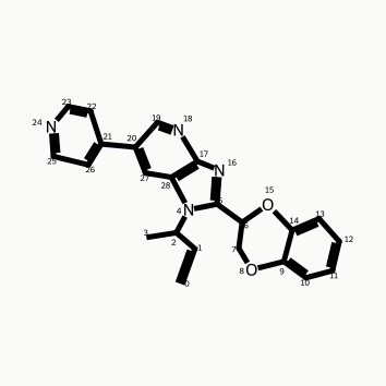 C=CC(C)n1c(C2COc3ccccc3O2)nc2ncc(-c3ccncc3)cc21